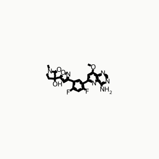 COc1cc(-c2cc(-c3cc(C4(O)CCN(C)C4=O)on3)c(F)cc2F)nc2c(N)ncnc12